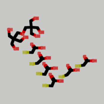 O=C(O)CS.O=C(O)CS.O=C(O)CS.O=C(O)CS.O=C(O)CS.O=C(O)CS.OCC(CO)(CO)COCC(CO)(CO)CO